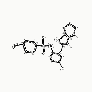 O=S(=O)(Nc1ccc(Cl)cc1-c1nc2ccccc2[nH]1)c1ccc(Cl)cc1